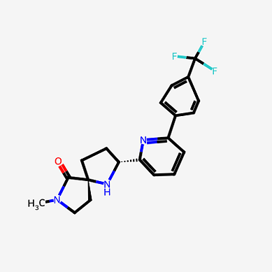 CN1CC[C@]2(CC[C@H](c3cccc(-c4ccc(C(F)(F)F)cc4)n3)N2)C1=O